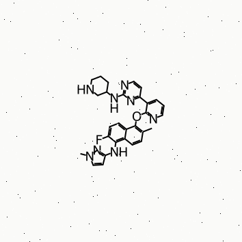 Cc1ccc2c(Nc3ccn(C)n3)c(F)ccc2c1Oc1ncccc1-c1ccnc(NC2CCCNC2)n1